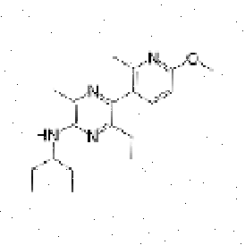 CCc1nc(-c2ccc(OC)nc2C)c(CC)nc1NC(CC)CC